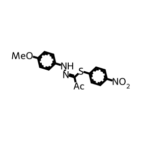 COc1ccc(NN=C(Sc2ccc([N+](=O)[O-])cc2)C(C)=O)cc1